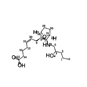 CCCC(O)CN[C@H]1[C@@H](C/C=C\CCCC(=O)O)[C@H]2CC[C@@H]1O2